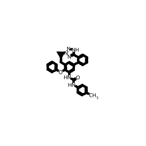 Cc1ccc(NC(=O)Nc2cc(-c3ccccc3-c3nnn[nH]3)cc(CC3CC3)c2Oc2ccccc2)cc1